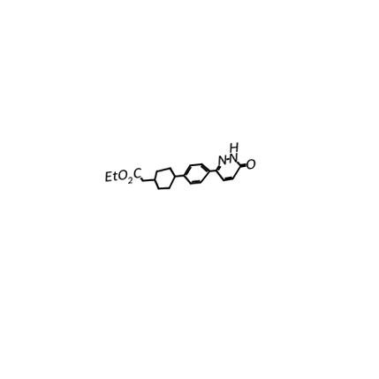 CCOC(=O)CC1CCC(c2ccc(-c3ccc(=O)[nH]n3)cc2)CC1